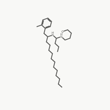 CCCCCCCCCCCCC(Cc1ccccc1C)NC(CCC)[SiH]1CCCCO1